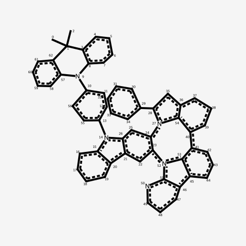 CC1(C)c2ccccc2N(c2ccc(-n3c4ccccc4c4cc5c(cc43)n3c(-c4ccccc4)cc4cccc(c6cccc7c8cccnc8n5c67)c43)cc2)c2ccccc21